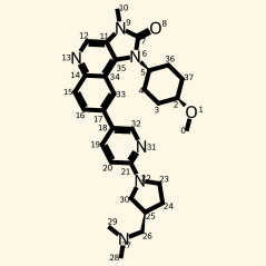 CO[C@H]1CC[C@@H](n2c(=O)n(C)c3cnc4ccc(-c5ccc(N6CC[C@@H](CN(C)C)C6)nc5)cc4c32)CC1